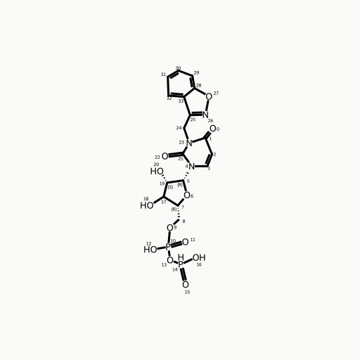 O=c1ccn([C@@H]2O[C@H](COP(=O)(O)O[PH](=O)O)C(O)[C@@H]2O)c(=O)n1Cc1noc2ccccc12